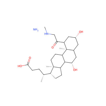 CNCC(=O)C1C[C@H](O)CC2C[C@H](O)C3C(CC[C@@]4(C)C3CC[C@@H]4[C@H](C)CCC(=O)O)[C@]21C.N